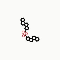 O=C(OC(=O)c1ccc2ccc3c4ccccc4ccc3c2c1)c1ccc2ccc3c4ccccc4ccc3c2c1